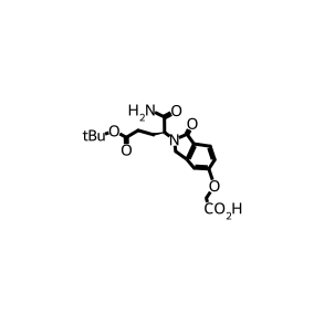 CC(C)(C)OC(=O)CC[C@@H](C(N)=O)N1Cc2cc(OCC(=O)O)ccc2C1=O